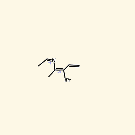 C=C/C(=C(C)\N=C/C)C(C)C